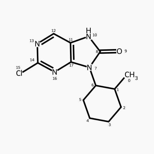 CC1CCCCC1n1c(=O)[nH]c2cnc(Cl)nc21